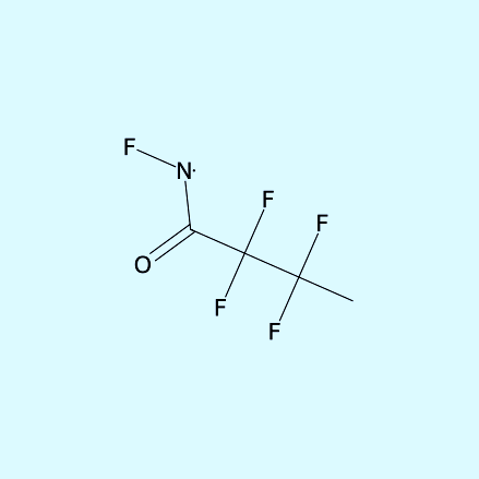 CC(F)(F)C(F)(F)C(=O)[N]F